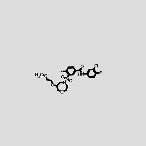 COCCOC1COCCN(S(=O)(=O)c2cc(C(=O)Nc3ccc(F)c(Cl)c3)ccc2F)C1